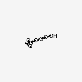 C=C(COC)C(=O)OCCOCCOCCOCCO